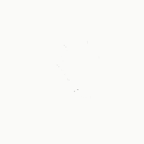 C[C@@H](C(=O)N1CCC[C@H](CC(=O)O)C1)N(C)c1ccc2c(-c3ccc(F)cc3Cl)ccnc2c1